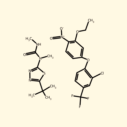 CCOc1cc(Oc2ccc(C(F)(F)F)cc2Cl)ccc1[N+](=O)[O-].CNC(=O)N(C)c1nnc(C(C)(C)C)s1